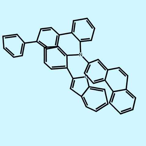 c1ccc(-c2ccc(-c3ccccc3N(c3ccc4c(ccc5ccccc54)c3)c3ccccc3-c3cc4ccccc4o3)cc2)cc1